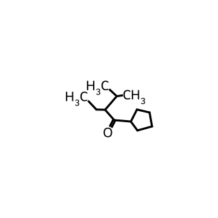 CCC(C(=O)C1CCCC1)C(C)C